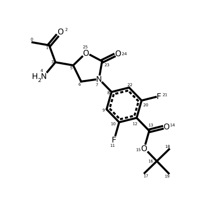 CC(=O)C(N)C1CN(c2cc(F)c(C(=O)OC(C)(C)C)c(F)c2)C(=O)O1